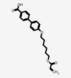 C=CC(=O)OCCCCCCOc1ccc(-c2ccc(C(=O)O)cc2)cc1